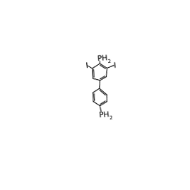 Pc1ccc(-c2cc(I)c(P)c(I)c2)cc1